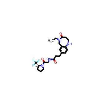 CCN1Cc2cc(CCC(=O)NCC(=O)N3CCC[C@@H]3C(F)(F)F)ccc2NCCC1=O